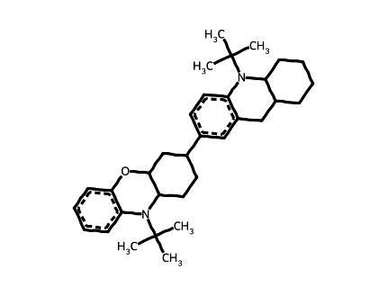 CC(C)(C)N1c2ccc(C3CCC4C(C3)Oc3ccccc3N4C(C)(C)C)cc2CC2CCCCC21